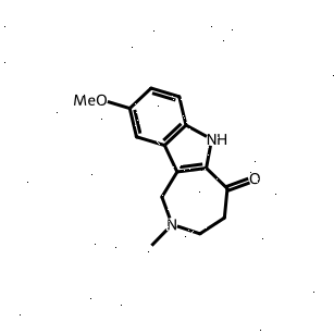 COc1ccc2[nH]c3c(c2c1)CN(C)CCC3=O